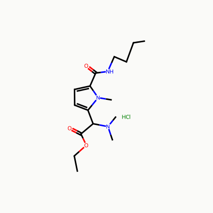 CCCCNC(=O)c1ccc(C(C(=O)OCC)N(C)C)n1C.Cl